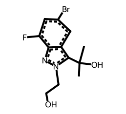 CC(C)(O)c1c2cc(Br)cc(F)c2nn1CCO